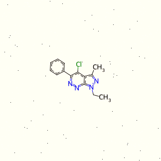 CCn1nc(C)c2c(Cl)c(-c3ccccc3)nnc21